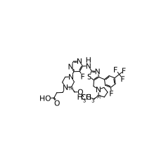 CC[C@@H]1CCCN1Cc1sc(Nc2ncnc(N3CCN(CCC(=O)O)[C@H](COC)C3)c2F)nc1-c1cc(F)cc(C(F)(F)F)c1